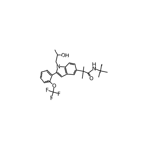 CC(O)Cn1c(-c2ccccc2OC(F)(F)F)cc2cc(C(C)(C)C(=O)NC(C)(C)C)ccc21